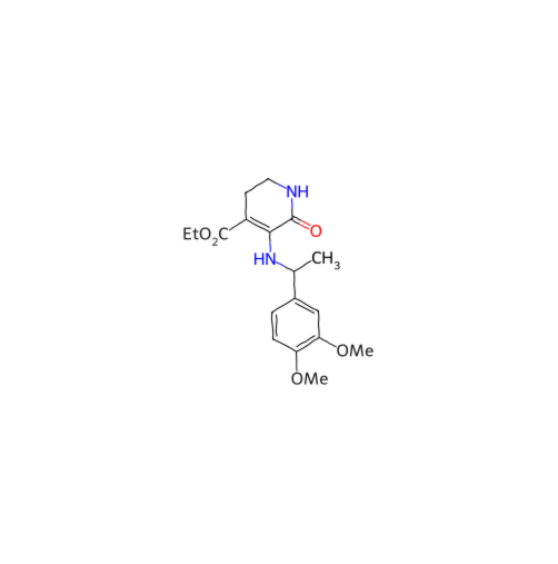 CCOC(=O)C1=C(NC(C)c2ccc(OC)c(OC)c2)C(=O)NCC1